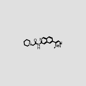 Cn1nncc1-c1ccc2cnc(NC(=O)CN3CCCCC3)cc2c1